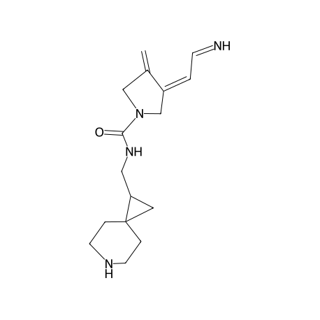 C=C1CN(C(=O)NCC2CC23CCNCC3)C/C1=C/C=N